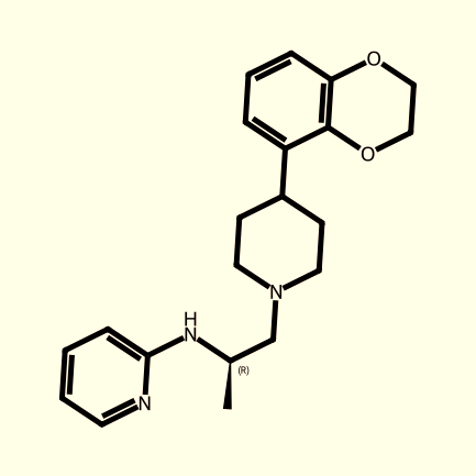 C[C@H](CN1CCC(c2cccc3c2OCCO3)CC1)Nc1ccccn1